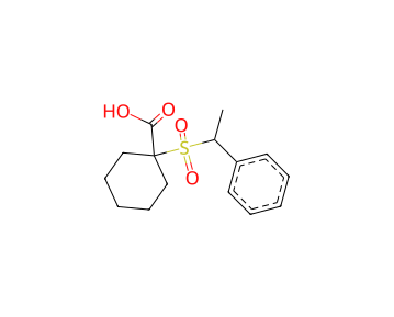 CC(c1ccccc1)S(=O)(=O)C1(C(=O)O)CCCCC1